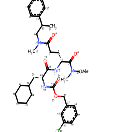 CON(C)C(=O)[C@@H](CCC(=O)N(C)CC(C)c1ccccc1)NC(=O)[C@@H](CC1CCCCC1)NC(=O)OCc1cccc(Cl)c1